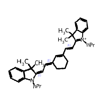 CCCN1/C(=C/C=C2C=C(/C=C/C3=[N+](CCC)c4ccccc4C3(C)C)CCC/2)C(C)(C)c2ccccc21